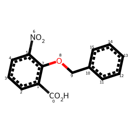 O=C(O)c1cccc([N+](=O)[O-])c1OCc1ccccc1